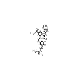 CCn1cc(CN(C(=O)C2CCCc3cc(OCCN(C)C)ccc32)c2ccc(C(C)C)cc2)cn1